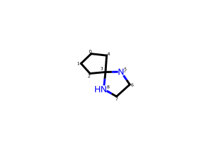 C1CCC2(C1)[N]CCN2